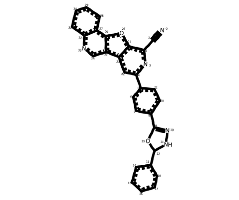 N#Cc1nc(-c2ccc(C3=NNC(c4ccccc4)O3)cc2)cc2c1oc1c3ccccc3ncc21